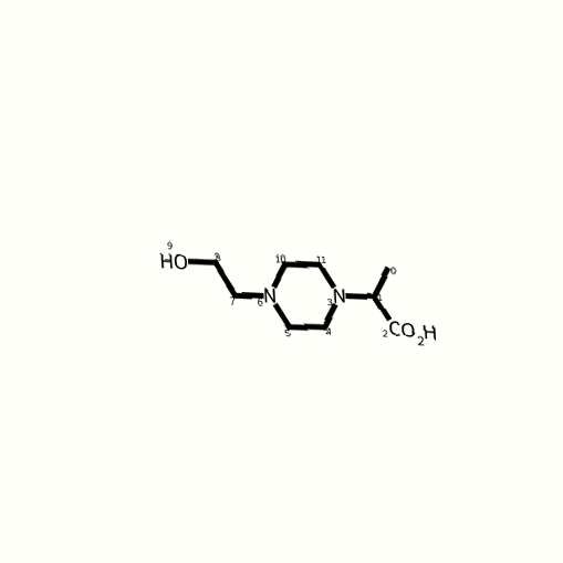 CC(C(=O)O)N1CCN(CCO)CC1